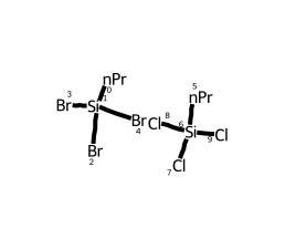 CCC[Si](Br)(Br)Br.CCC[Si](Cl)(Cl)Cl